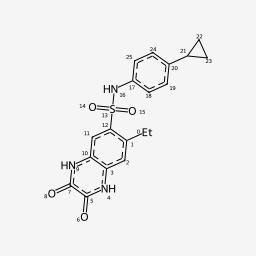 CCc1cc2[nH]c(=O)c(=O)[nH]c2cc1S(=O)(=O)Nc1ccc(C2CC2)cc1